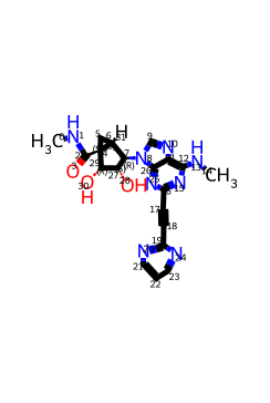 CNC(=O)[C@@]12C[C@@H]1[C@@H](n1cnc3c(NC)nc(C#Cc4ncccn4)nc31)[C@H](O)[C@@H]2O